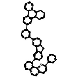 C1=Cc2c(c3ccccc3c3ccc(-c4cccc(-c5ccc6c(c5)-c5cc(-c7cccc8ccc9ccc(-c%10ccccc%10)nc9c78)ccc5C6)c4)cc23)CC1